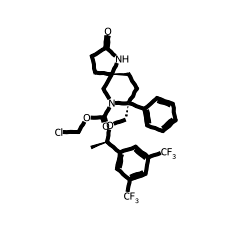 C[C@@H](OC[C@@]1(c2ccccc2)CC[C@]2(CCC(=O)N2)CN1C(=O)OCCl)c1cc(C(F)(F)F)cc(C(F)(F)F)c1